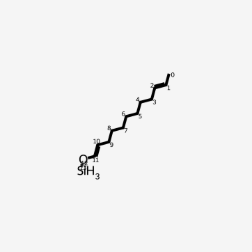 CC=CCCCCCCCC=CO[SiH3]